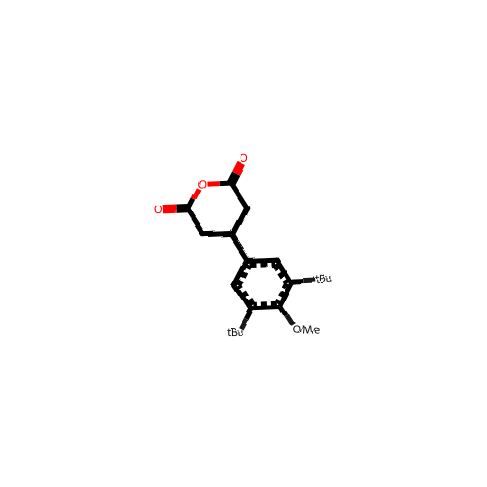 COc1c(C(C)(C)C)cc(C2CC(=O)OC(=O)C2)cc1C(C)(C)C